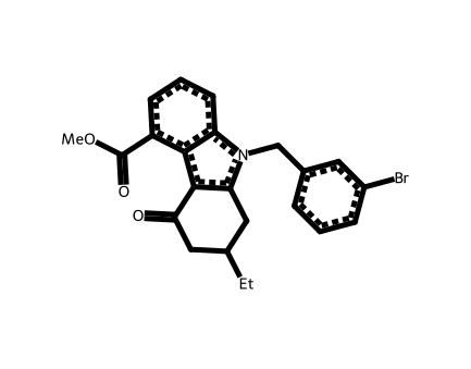 CCC1CC(=O)c2c(n(Cc3cccc(Br)c3)c3cccc(C(=O)OC)c23)C1